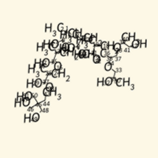 C=C(C)C(=O)O.C=C(C)C(=O)O.C=C(C)C(=O)O.C=C(C)C(=O)O.C=C(C)C(=O)O.CC(O)COC(C)COC(C)CO.CCC(CO)(CO)CO